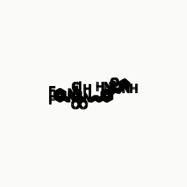 O=C1Nc2cc(C=CCNC(=O)c3cc(Cl)nn(Cc4ccc(F)c(F)c4)c3=O)ccc2C1=Cc1ccc[nH]1